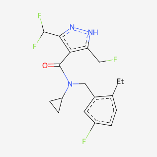 CCc1ccc(F)cc1CN(C(=O)c1c(C(F)F)n[nH]c1CF)C1CC1